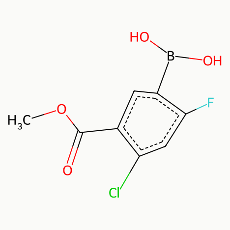 COC(=O)c1cc(B(O)O)c(F)cc1Cl